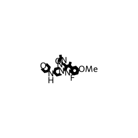 COc1cc(F)c2nc(N3CCC(NC4CCOCC4)CC3)c(-c3noc(C)n3)c(C)c2c1